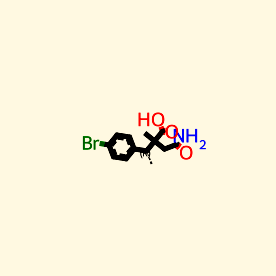 C[C@H](c1ccc(Br)cc1)C(C)(CC(N)=O)C(=O)O